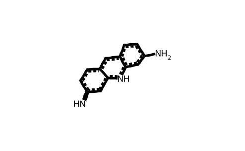 N=c1ccc2cc3ccc(N)cc3[nH]c-2c1